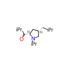 CC(C)C[C@H]1C[C@@H](C(=O)C(C)C)N(C(C)C)C1